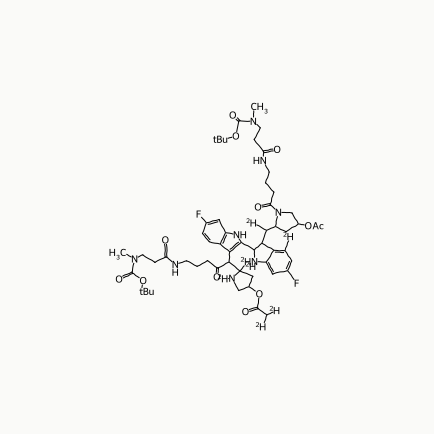 [2H]c1cc(F)cc2c1C(C([2H])C1CC(OC(C)=O)CN1C(=O)CCCNC(=O)CCN(C)C(=O)OC(C)(C)C)C(c1[nH]c3cc(F)ccc3c1C(C(=O)CCCNC(=O)CCN(C)C(=O)OC(C)(C)C)C1([2H])CC(OC(=O)C([2H])[2H])CN1[2H])N2[2H]